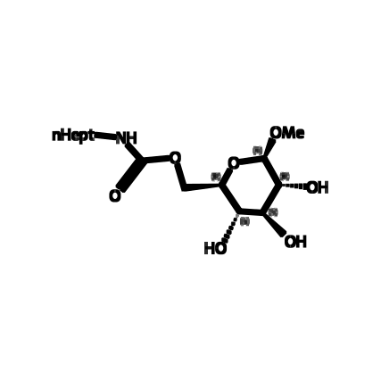 CCCCCCCNC(=O)OC[C@H]1O[C@@H](OC)[C@H](O)[C@@H](O)[C@@H]1O